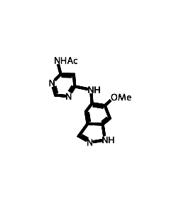 COc1cc2[nH]ncc2cc1Nc1cc(NC(C)=O)ncn1